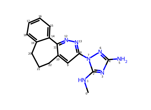 CNc1nc(N)nn1-c1cc2c(nn1)-c1ccccc1CCC2